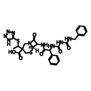 CC(Sc1nnn[nH]1)C1(C(=O)O)CS[C@@H]2C(NC(=O)C(NC(=O)NC(=O)NCc3ccccc3)c3ccccc3)C(=O)N2C1